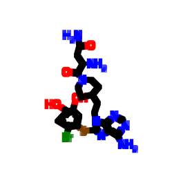 NC(=O)C[C@H](N)C(=O)N1CCC(CCn2c(Sc3cc(O)c(O)cc3Br)nc3c(N)ncnc32)CC1